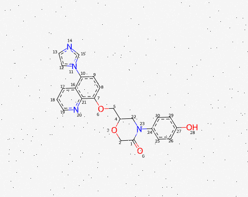 O=C1COC(COc2ccc(-n3ccnc3)c3cccnc23)CN1c1ccc(O)cc1